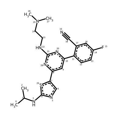 CC(C)Nc1ncc(-c2cc(-c3ccc(F)cc3C#N)nc(NCCN(C)C)n2)s1